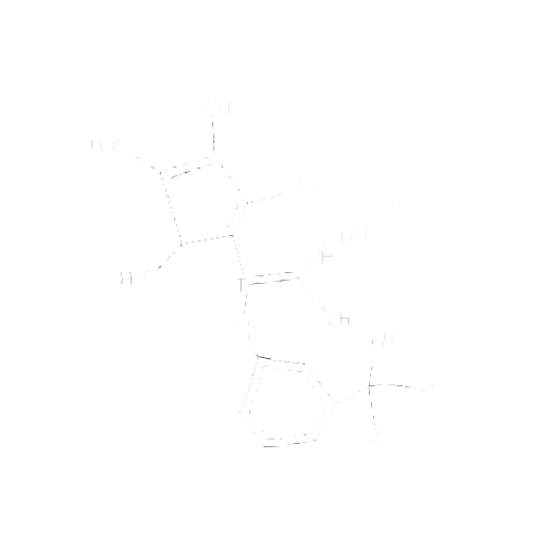 CC1=C(C)C(C)[C]([Ti]([O]c2cccc(C(C)(C)C)c2)=[C](C)C)=C1[SiH3].Cl.Cl